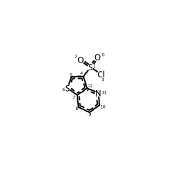 O=S(=O)(Cl)c1csc2cccnc12